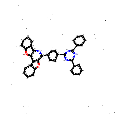 c1ccc(-c2nc(-c3ccccc3)nc(-c3ccc(-c4nc5c6ccccc6oc5c5c4oc4ccccc45)cc3)n2)cc1